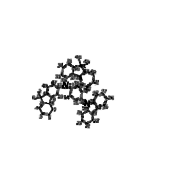 CC1(C)C2=CC=CCC2c2cc(N(c3ccc(-n4c5ccccc5c5ccccc54)cc3)c3cccc4c3-c3ccccc3C4(C)C)ccc21